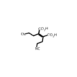 [C-]#[N+]CCC(C(=O)O)=C(CC[N+]#[C-])C(=O)O